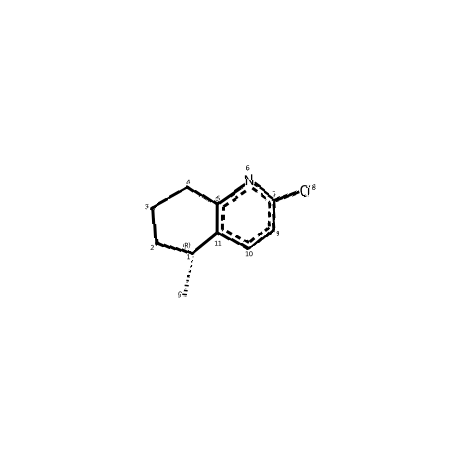 C[C@@H]1CCCc2nc(Cl)ccc21